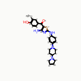 CCCc1cc(C(=O)c2sc(Nc3ccc(N4CCC(N5CCCC5)CC4)cc3)nc2N)ccc1O